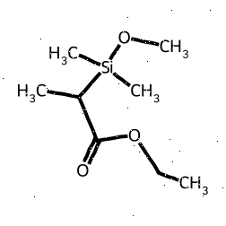 CCOC(=O)C(C)[Si](C)(C)OC